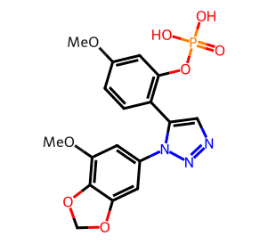 COc1ccc(-c2cnnn2-c2cc(OC)c3c(c2)OCO3)c(OP(=O)(O)O)c1